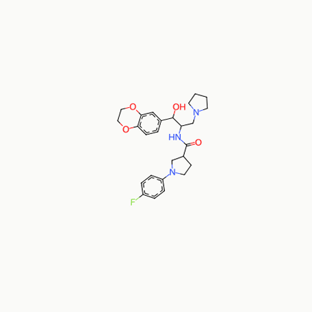 O=C(NC(CN1CCCC1)C(O)c1ccc2c(c1)OCCO2)C1CCN(c2ccc(F)cc2)C1